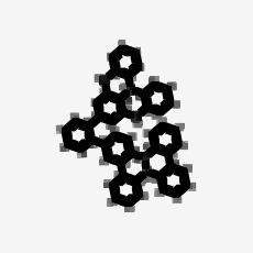 c1ccc2c(c1)Oc1cc(-c3ccccc3-c3ccc4c(c3)-c3ccccc3B3c5ccccc5-c5ccccc5N34)cc3c1B2c1ccccc1O3